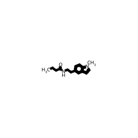 CCCC(=O)NCCc1ccc2c(ccn2C)c1